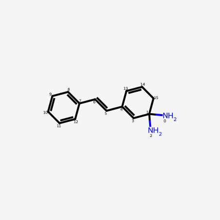 NC1(N)C=C(C=Cc2ccccc2)C=CC1